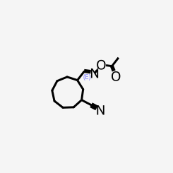 CC(=O)O/N=C/C1CCCCCCC(C#N)C1